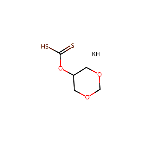 S=C(S)OC1COCOC1.[KH]